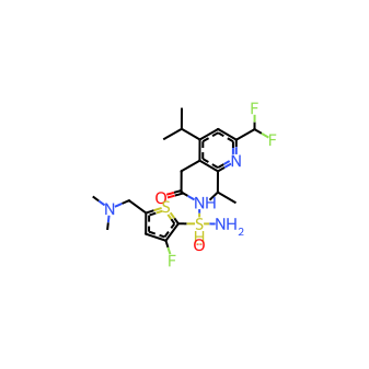 CC(C)c1cc(C(F)F)nc(C(C)C)c1CC(=O)N[SH](N)(=O)c1sc(CN(C)C)cc1F